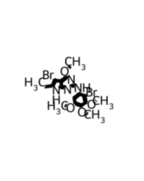 CCOc1nc(Nc2cc(OC)c(OC)c(OC)c2Br)nc2[nH]c(CC)c(Br)c12